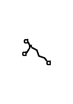 ClCCCP(Cl)Cl